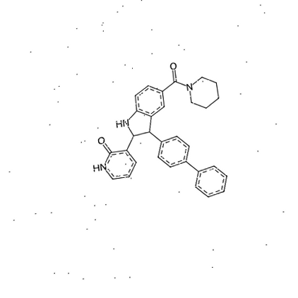 O=C(c1ccc2c(c1)C(c1ccc(-c3ccccc3)cc1)C(c1ccc[nH]c1=O)N2)N1CCCCC1